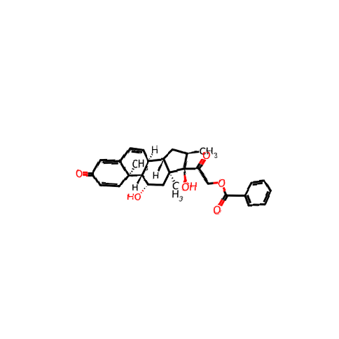 C[C@@H]1C[C@H]2[C@@H]3C=CC4=CC(=O)C=C[C@]4(C)[C@H]3[C@@H](O)C[C@]2(C)[C@@]1(O)C(=O)COC(=O)c1ccccc1